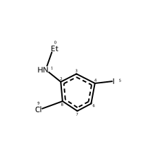 CCNc1cc(I)ccc1Cl